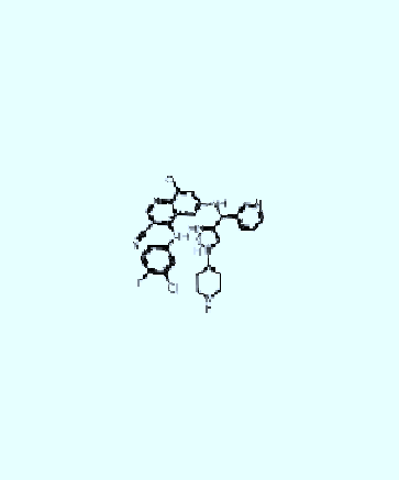 N#Cc1cnc2c(Cl)cc(NC(C3=CN(C4CCNCC4)NN3)c3cccnc3)cc2c1Nc1ccc(F)c(Cl)c1